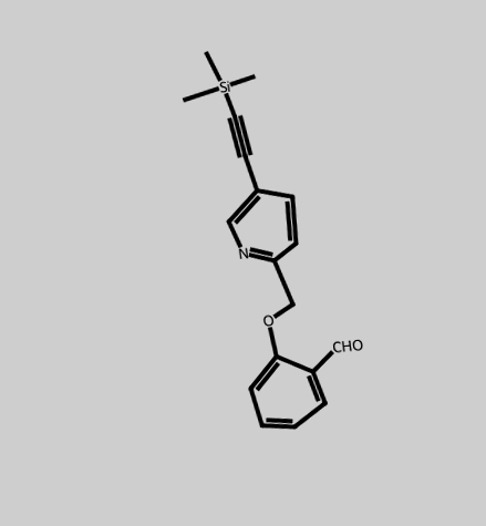 C[Si](C)(C)C#Cc1ccc(COc2ccccc2C=O)nc1